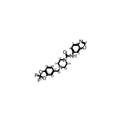 O=C(Nc1ccc2ncoc2c1)N1CCN(Cc2ccc3c(c2)OC(F)(F)O3)CC1